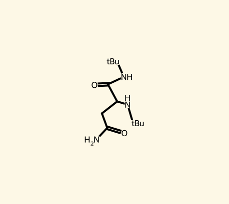 CC(C)(C)NC(=O)C(CC(N)=O)NC(C)(C)C